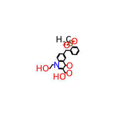 CS(=O)(=O)c1ccccc1Cc1ccc2c(c1)c(=O)c(C(=O)O)cn2CCO